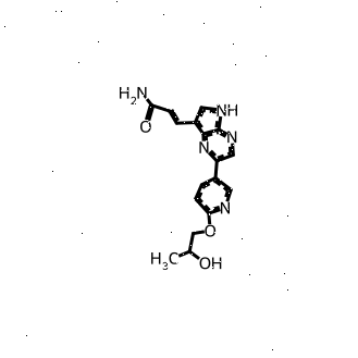 CC(O)COc1ccc(-c2cnc3[nH]cc(C=CC(N)=O)c3n2)cn1